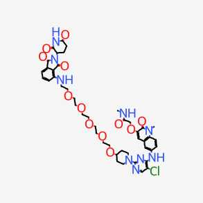 CNC(=O)COc1cc2cc(Nc3nc(N4CCC(OCCOCCOCCOCCOCCNc5cccc6c5C(=O)N(C5CCC(=O)NC5=O)C6=O)CC4)ncc3Cl)ccc2n(C)c1=O